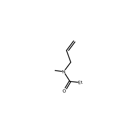 C=CCN(C)C(=O)CC